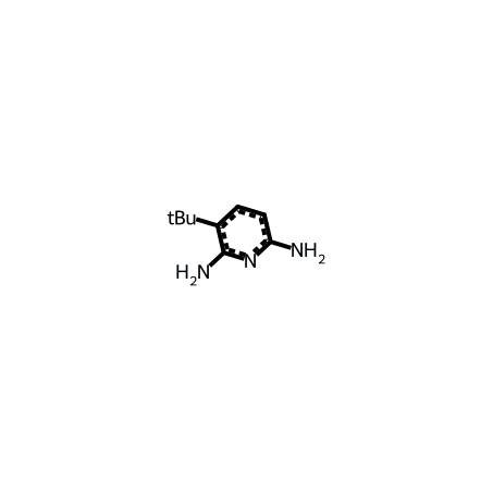 CC(C)(C)c1ccc(N)nc1N